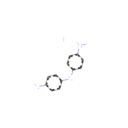 CN(C)c1ccc(Nc2ccc(N=O)cc2)cc1